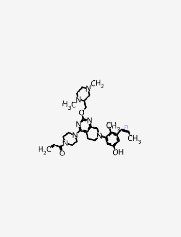 C=CC(=O)N1CCN(c2nc(OCC3CN(C)CCN3C)nc3c2CCN(c2cc(O)cc(/C=C\C)c2C)C3)CC1